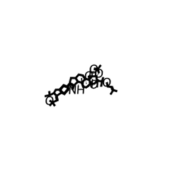 CC(=O)O[C@@H]1C(C(C)(C)OCC=C(C)C)OC2CC[C@]3(C)[C@@]4(C)c5[nH]c6cc7c(cc6c5CC4CC[C@@]3(O)C23O[C@@H]13)CC1C7=CC(C)(C)OC1(C)C